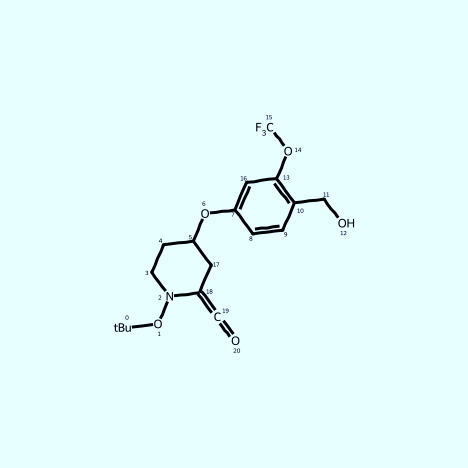 CC(C)(C)ON1CCC(Oc2ccc(CO)c(OC(F)(F)F)c2)CC1=C=O